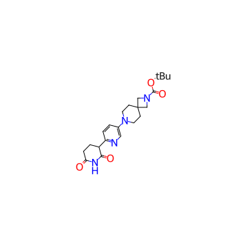 CC(C)(C)OC(=O)N1CC2(CCN(c3ccc(C4CCC(=O)NC4=O)nc3)CC2)C1